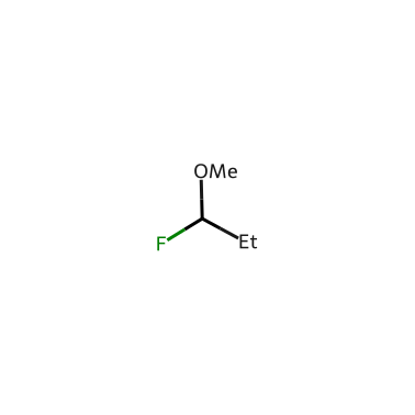 CCC(F)OC